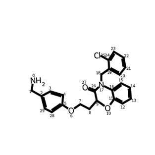 NCc1ccc(OCCC2Oc3ccccc3N(Cc3ccccc3Cl)C2=O)cc1